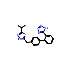 CC(C)c1n[nH]c(Cc2ccc(-c3ccccc3-c3nnn[nH]3)cc2)n1